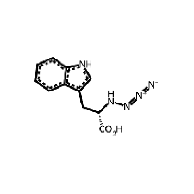 [N-]=[N+]=NN[C@@H](Cc1c[nH]c2ccccc12)C(=O)O